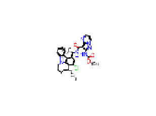 C/C1=C\CCCNc2c1c(Cl)cc(C(C)NC(=O)c1c(NC(=O)OC(C)(C)C)nn3cccnc13)c2-c1ccccc1